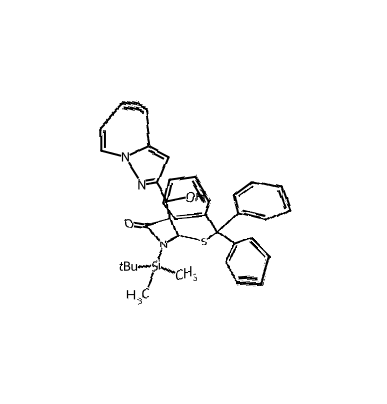 CC(C)(C)[Si](C)(C)N1C(=O)C(C(O)c2cc3ccccn3n2)C1SC(c1ccccc1)(c1ccccc1)c1ccccc1